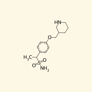 CC(c1ccc(OCC2CCCNC2)cc1)S(N)(=O)=O